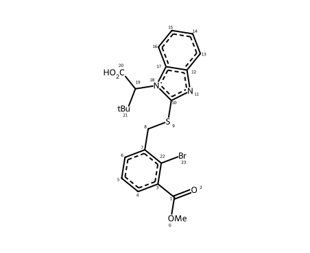 COC(=O)c1cccc(CSc2nc3ccccc3n2C(C(=O)O)C(C)(C)C)c1Br